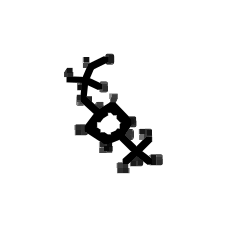 CCC(C)(C)[CH]c1ccc(C(C)(C)C)cc1